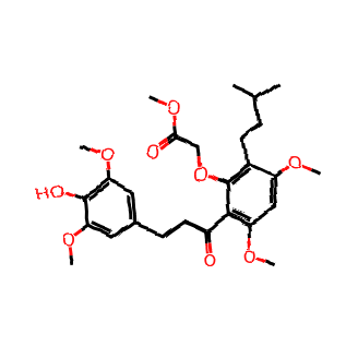 COC(=O)COc1c(CCC(C)C)c(OC)cc(OC)c1C(=O)CCc1cc(OC)c(O)c(OC)c1